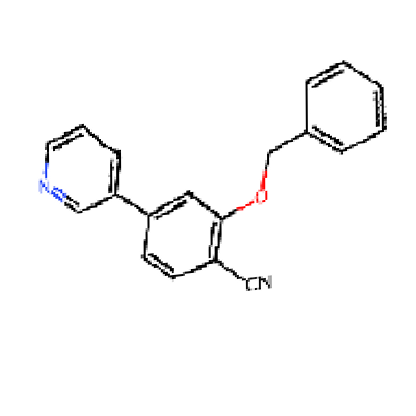 N#Cc1ccc(-c2cccnc2)cc1OCc1ccccc1